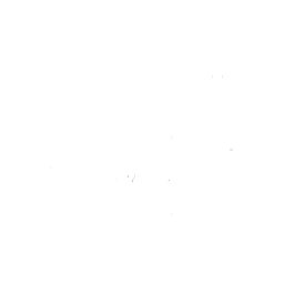 CC(C)CC(C=CCC(=O)O)NC(=O)OC(C)(C)C